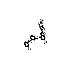 COc1cc(OCc2cccc(OCc3cccc(Cl)c3)c2)c2cc(-c3cn4nc(OC)sc4n3)oc2c1